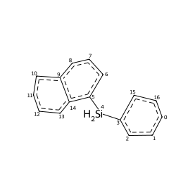 c1ccc([SiH2]c2cccc3ccccc23)cc1